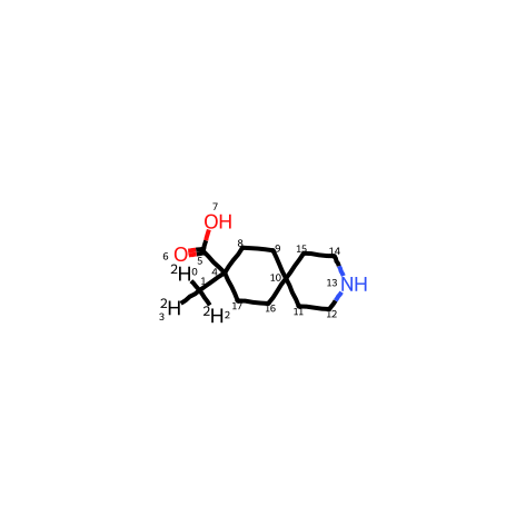 [2H]C([2H])([2H])C1(C(=O)O)CCC2(CCNCC2)CC1